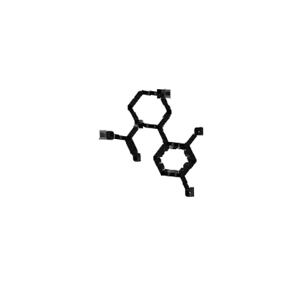 O=C(O)N1CCNCC1c1ccc(Cl)cc1Cl